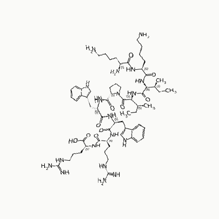 CC[C@H](C)[C@H](NC(=O)[C@H](CCCCN)NC(=O)[C@@H](N)CCCCN)C(=O)N[C@H](C(=O)N1CCC[C@H]1C(=O)N[C@@H](Cc1c[nH]c2ccccc12)C(=O)N[C@@H](Cc1c[nH]c2ccccc12)C(=O)N[C@@H](CCCNC(=N)N)C(=O)N[C@@H](CCCNC(=N)N)C(=O)O)[C@@H](C)CC